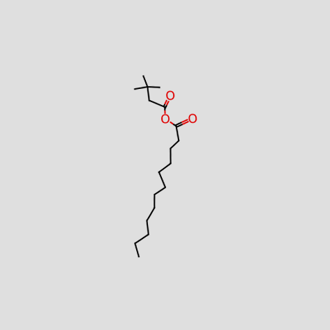 CCCCCCCCCCCC(=O)OC(=O)CC(C)(C)C